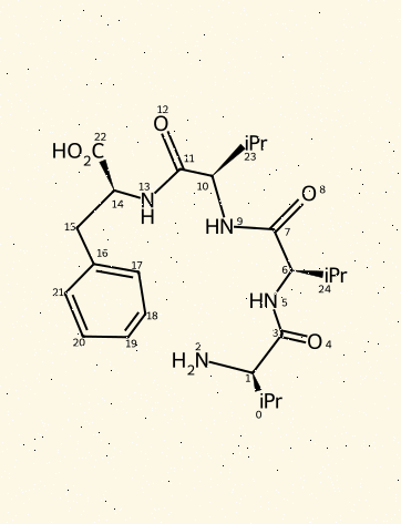 CC(C)[C@@H](N)C(=O)N[C@@H](C(=O)N[C@@H](C(=O)N[C@@H](Cc1ccccc1)C(=O)O)C(C)C)C(C)C